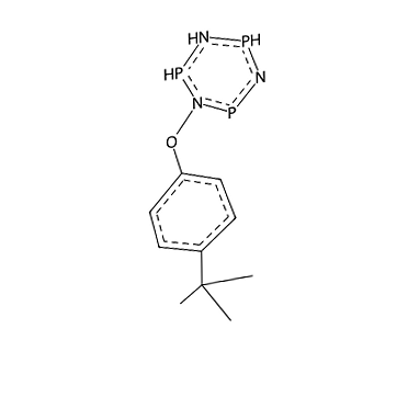 CC(C)(C)c1ccc(On2pn[pH][nH][pH]2)cc1